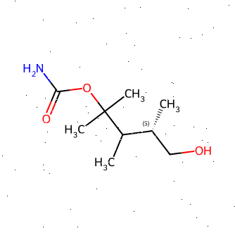 CC([C@H](C)CO)C(C)(C)OC(N)=O